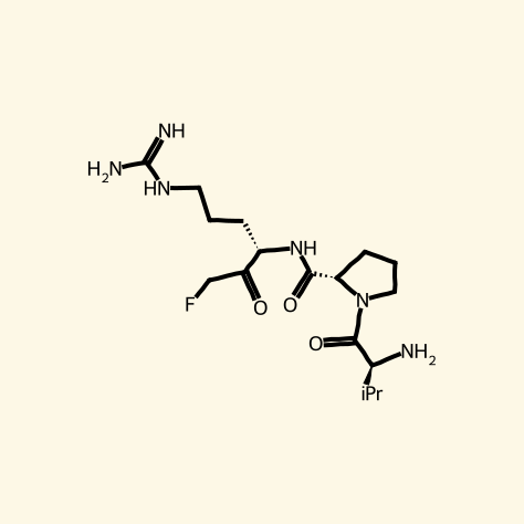 CC(C)[C@H](N)C(=O)N1CCC[C@H]1C(=O)N[C@@H](CCCNC(=N)N)C(=O)CF